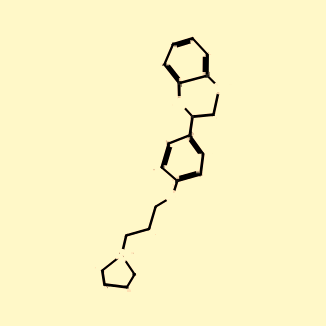 c1ccc2c(c1)OC(c1ccc(OCCCN3CCCC3)cc1)CS2